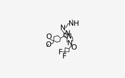 CNCCN(C)Cc1nn2c(c1C1CCC(COC)(COC)CC1)CN(C(=O)C1CC(F)(F)C1)CC2